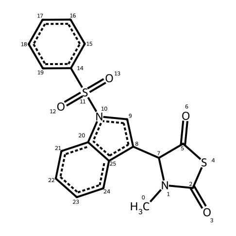 CN1C(=O)SC(=O)C1c1cn(S(=O)(=O)c2ccccc2)c2ccccc12